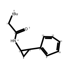 [CH2]C(C)(C)CC(=O)NC1CC1c1ccccc1